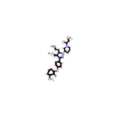 C=CC(=O)N1CCC[C@@H](N2N=C(c3ccc(Oc4cccc(C)c4F)cc3)/C(=C/C)C2CC=N)C1